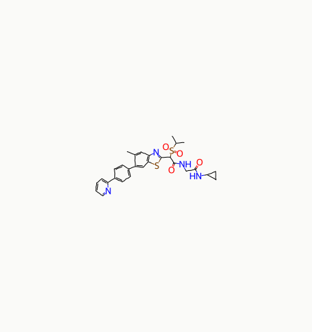 Cc1cc2nc(C(C(=O)NCC(=O)NC3CC3)S(=O)(=O)C(C)C)sc2cc1-c1ccc(-c2ccccn2)cc1